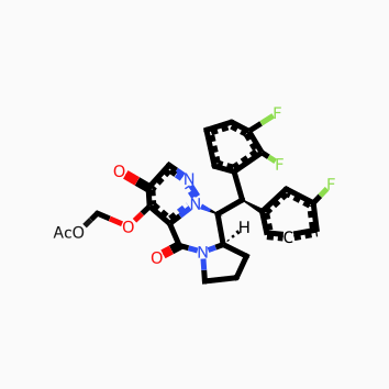 CC(=O)OCOc1c2n(ncc1=O)[C@@H]([C@H](c1cccc(F)c1)c1cccc(F)c1F)[C@H]1CCCN1C2=O